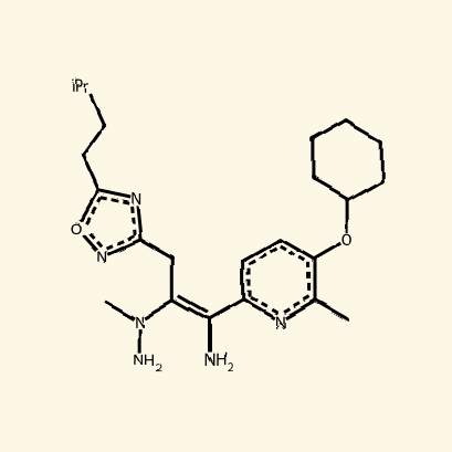 Cc1nc(/C(N)=C(\Cc2noc(CCC(C)C)n2)N(C)N)ccc1OC1CCCCC1